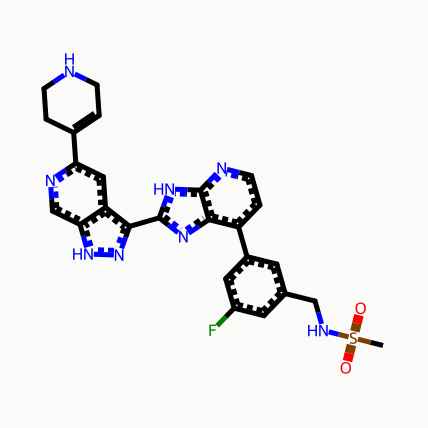 CS(=O)(=O)NCc1cc(F)cc(-c2ccnc3[nH]c(-c4n[nH]c5cnc(C6=CCNCC6)cc45)nc23)c1